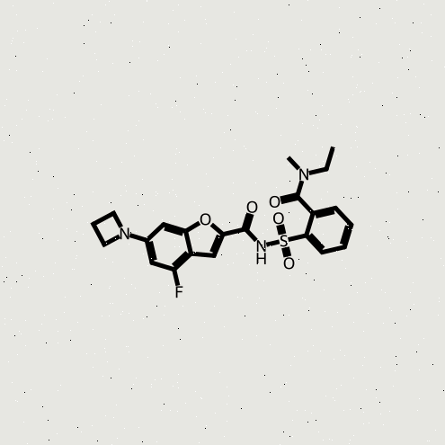 CCN(C)C(=O)c1ccccc1S(=O)(=O)NC(=O)c1cc2c(F)cc(N3CCC3)cc2o1